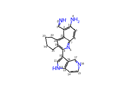 N=Cc1c(N)ccc2nc(-c3c[nH]c4ccncc34)c3c(c12)CCCC3